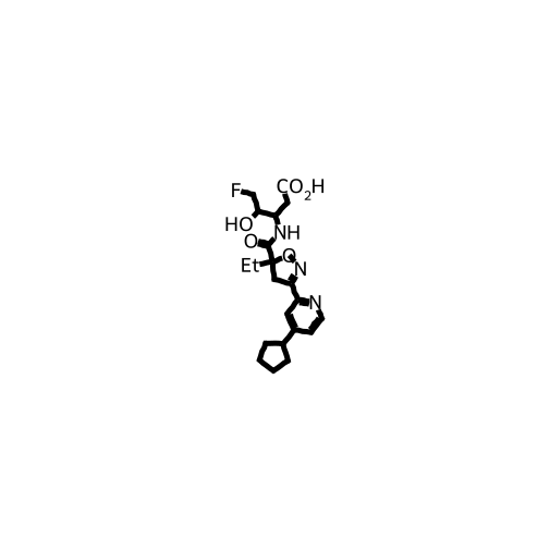 CCC1(C(=O)NC(CC(=O)O)C(O)CF)CC(c2cc(C3CCCC3)ccn2)=NO1